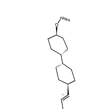 C/C=C/[C@H]1CC[C@H]([C@H]2CC[C@H](OCCCCCC)CC2)CC1